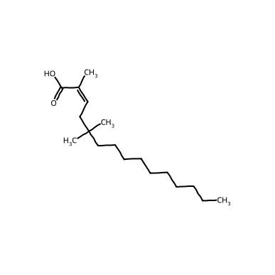 CCCCCCCCCCC(C)(C)CC=C(C)C(=O)O